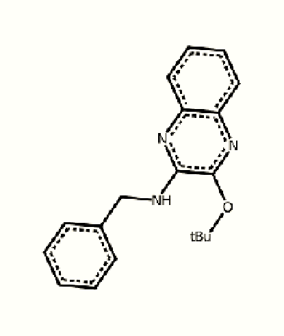 CC(C)(C)Oc1nc2ccccc2nc1NCc1ccccc1